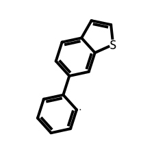 [c]1ccccc1-c1ccc2ccsc2c1